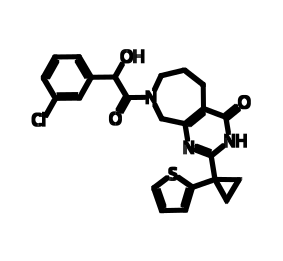 O=C(C(O)c1cccc(Cl)c1)N1CCCc2c(nc(C3(c4cccs4)CC3)[nH]c2=O)C1